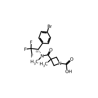 CN(C(=O)C1(C)CN(C(=O)O)C1)[C@@H](c1ccc(Br)cc1)C(F)(F)F